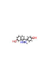 CN1NC2=C(CCc3ccc(O)cc32)C1c1ccc(O)cc1